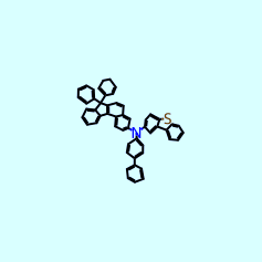 C1=CC(C2(c3ccccc3)c3ccccc3-c3c2ccc2cc(N(c4ccc(-c5ccccc5)cc4)c4ccc5sc6ccccc6c5c4)ccc32)=CCC1